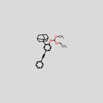 CCOC(OC)Oc1ccc(C#Cc2cc[c]cc2)cc1C12CC3CC(CC(C3)C1)C2